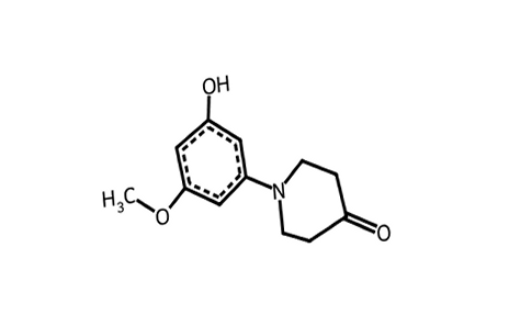 COc1cc(O)cc(N2CCC(=O)CC2)c1